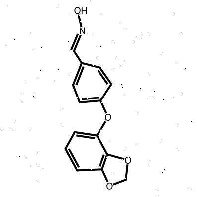 ON=Cc1ccc(Oc2cccc3c2OCO3)cc1